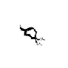 CC1(C)C=CC(I)=CC1